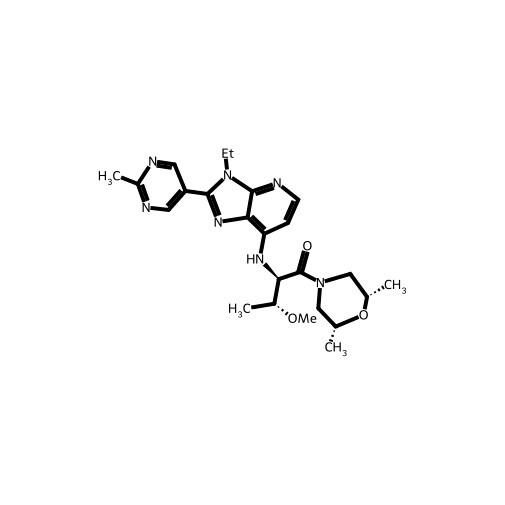 CCn1c(-c2cnc(C)nc2)nc2c(N[C@@H](C(=O)N3C[C@@H](C)O[C@@H](C)C3)[C@@H](C)OC)ccnc21